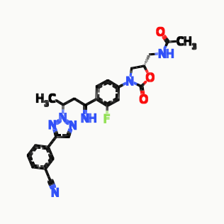 CC(=O)NC[C@H]1CN(c2ccc(C(=N)CC(C)n3ncc(-c4cccc(C#N)c4)n3)c(F)c2)C(=O)O1